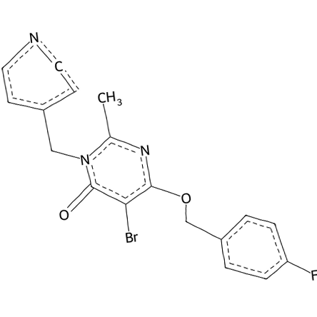 Cc1nc(OCc2ccc(F)cc2)c(Br)c(=O)n1Cc1ccncc1